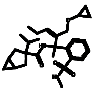 CC/C=C(/COC1CC1)C(C)(NC(=O)C1(N(C)C)CC2CC2C1)c1ccccc1S(=O)(=O)NC